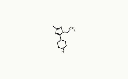 Cc1cc(C2CCNCC2)n(CC(F)(F)F)n1